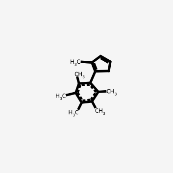 CC1=C(c2c(C)c(C)c(C)c(C)c2C)CC=C1